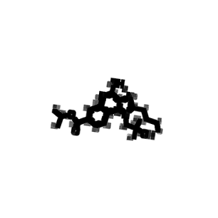 CCCCc1nc2c(N)nc3cc(C(=O)OC(C)C)ccc3c2n1CC(C)(C)O